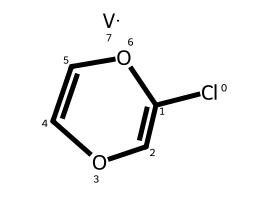 ClC1=COC=CO1.[V]